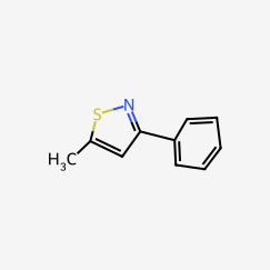 Cc1cc(-c2ccccc2)ns1